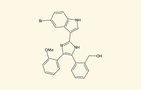 COc1ccccc1-c1nc(-c2c[nH]c3ccc(Br)cc23)[nH]c1-c1ccccc1CO